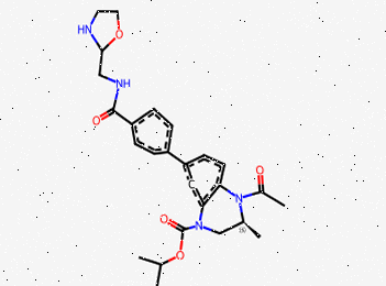 CC(=O)N1c2ccc(-c3ccc(C(=O)NCC4NCCO4)cc3)cc2N(C(=O)OC(C)C)C[C@@H]1C